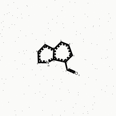 O=Cc1cccc2[c]ccnc12